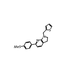 CSc1ccc(-c2ccc3c(n2)N(Cc2cccs2)CC3)cc1